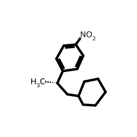 C[C@@H](CC1CCCCC1)c1ccc([N+](=O)[O-])cc1